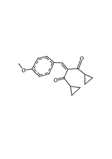 COc1ccc(C=C(C(=O)C2CC2)C(=O)C2CC2)cc1